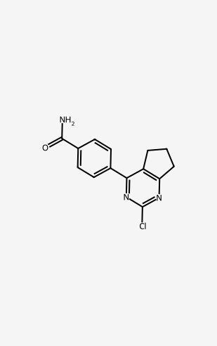 NC(=O)c1ccc(-c2nc(Cl)nc3c2CCC3)cc1